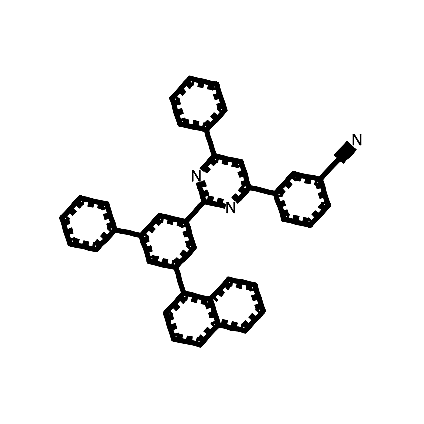 N#Cc1cccc(-c2cc(-c3ccccc3)nc(-c3cc(-c4ccccc4)cc(-c4cccc5ccccc45)c3)n2)c1